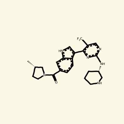 C[C@H]1CCN(C(=O)c2ccc3c(-c4nc(N[C@H]5CCCNC5)ncc4C(F)(F)F)c[nH]c3c2)C1